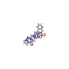 COC(=O)[C@H](Cc1ccccc1)NC(=O)CN1CCN(C(=O)[C@@H]2CCCN2C(C)=O)CC1